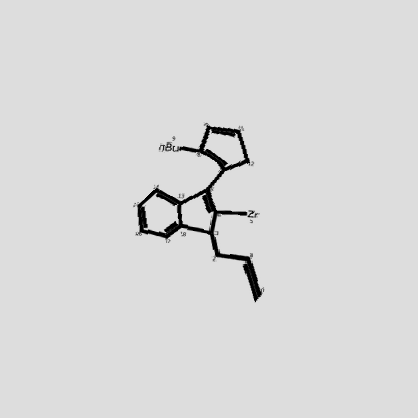 C=CCC1[C]([Zr])=C(C2=C(CCCC)C=CC2)c2ccccc21